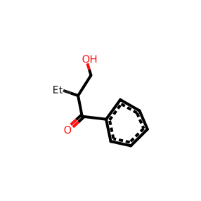 CCC(CO)C(=O)c1ccccc1